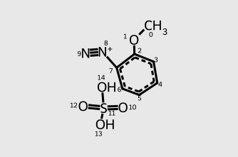 COc1ccccc1[N+]#N.O=S(=O)(O)O